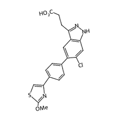 COc1nc(-c2ccc(-c3cc4c(CCC(=O)O)n[nH]c4cc3Cl)cc2)cs1